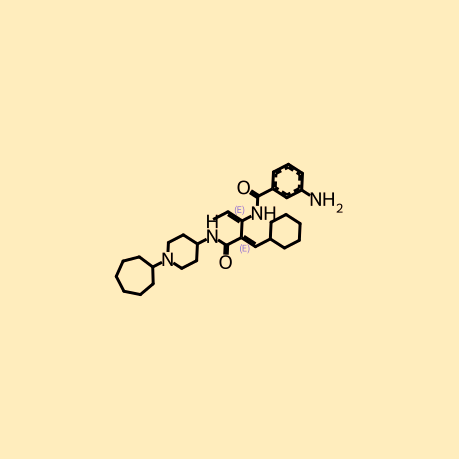 C/C=C(NC(=O)c1cccc(N)c1)\C(=C/C1CCCCC1)C(=O)NC1CCN(C2CCCCCC2)CC1